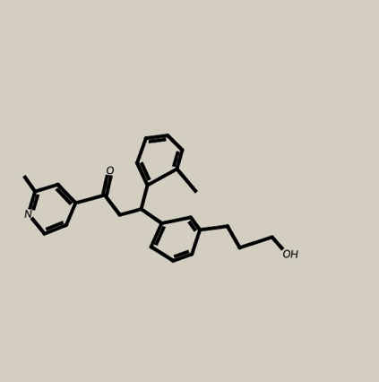 Cc1cc(C(=O)CC(c2cccc(CCCO)c2)c2ccccc2C)ccn1